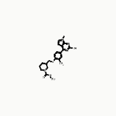 Cn1ccc2c(-c3ccc(OCC4CCCN(C(=O)OC(C)(C)C)C4)c(C(F)(F)F)c3)nc(C#N)nc21